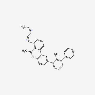 C/C=C\C=C/c1cccc(-c2cncc(-c3cccc(-c4ccccc4)c3N)c2)c1N(C)C